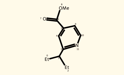 CCC(CC)c1cc(C(=O)OC)ccn1